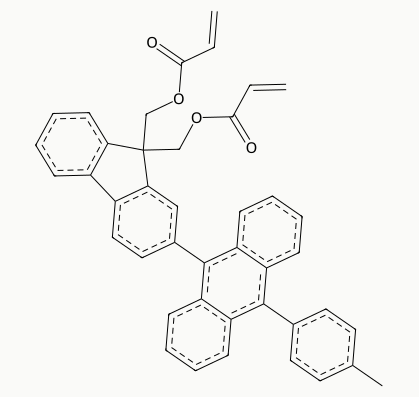 C=CC(=O)OCC1(COC(=O)C=C)c2ccccc2-c2ccc(-c3c4ccccc4c(-c4ccc(C)cc4)c4ccccc34)cc21